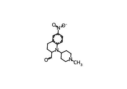 CN1CCC(N2c3ccc([N+](=O)[O-])cc3CCC2C=O)CC1